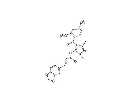 CSc1cc(C(F)(F)F)ccc1C(=O)c1c(C)nn(C)c1OC(=O)/C=C/c1ccc2c(c1)OCO2